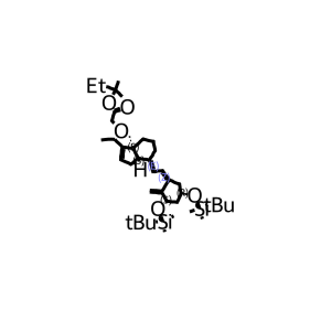 C=C1/C(=C\C=C2/CCC[C@]3(C)C(C(C)OCC(=O)OC(C)(C)CC)=CC[C@@H]23)C[C@@H](O[Si](C)(C)C(C)(C)C)C[C@@H]1O[Si](C)(C)C(C)(C)C